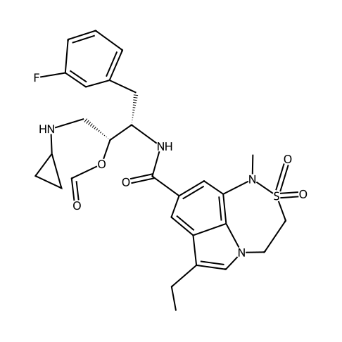 CCc1cn2c3c(cc(C(=O)N[C@@H](Cc4cccc(F)c4)[C@@H](CNC4CC4)OC=O)cc13)N(C)S(=O)(=O)CC2